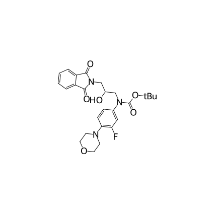 CC(C)(C)OC(=O)N(CC(O)CN1C(=O)c2ccccc2C1=O)c1ccc(N2CCOCC2)c(F)c1